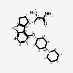 NC(=O)[C@H](O)C[C@H]1CCc2sc3ncnc(O[C@H]4CC[C@H](N5CCCCC5)CC4)c3c21